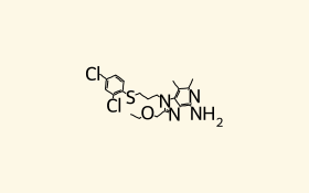 CCOCc1nc2c(N)nc(C)c(C)c2n1CCCSc1ccc(Cl)cc1Cl